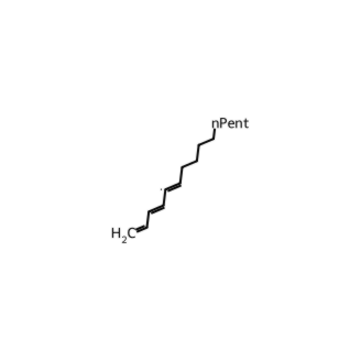 C=CC=C/[C]=C/CCCCCCCCC